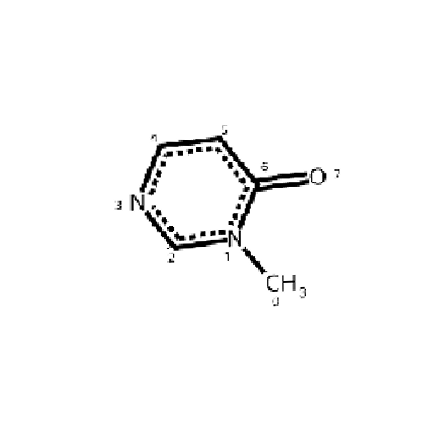 Cn1[c]nccc1=O